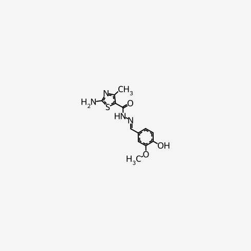 COc1cc(/C=N/NC(=O)c2sc(N)nc2C)ccc1O